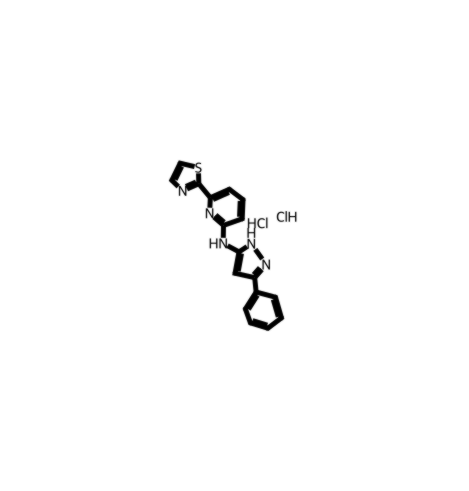 Cl.Cl.c1ccc(-c2cc(Nc3cccc(-c4nccs4)n3)[nH]n2)cc1